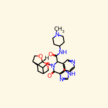 CN1CCC(NC(=O)C(c2cccnc2)N(CC2C3CO[C@H]4OCC2C4C3)C(=O)c2c[nH]cn2)CC1